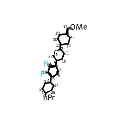 CCCC1CCC(c2ccc(C3CCC(C4CCC(=COC)CC4)CC3)c(F)c2F)CC1